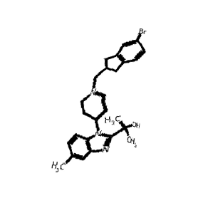 Cc1ccc2c(c1)nc(C(C)(C)O)n2C1CCN(CC2Cc3ccc(Br)cc3C2)CC1